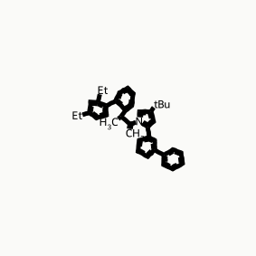 C=C(C(C)c1ccccc1-c1ccc(CC)cc1CC)n1cc(C(C)(C)C)cc1-c1cccc(-c2ccccc2)c1